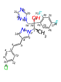 C[C@@H](n1cc(C=Cc2ccc(Cl)cc2)cn1)[C@](O)(Cn1cncn1)c1ccc(F)cc1F